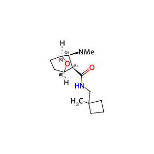 CN[C@H]1[C@@H](C(=O)NCC2(C)CCC2)[C@H]2CC[C@@H]1O2